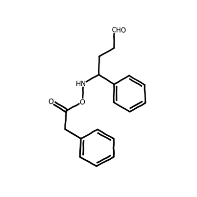 O=CCCC(NOC(=O)Cc1ccccc1)c1ccccc1